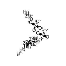 O=S(=O)([O-])[O-].O=S(=O)([O-])[O-].[H-].[H-].[H-].[H-].[H-].[H-].[O]=[Zr+2].[O]=[Zr+2].[O]=[Zr+2].[O]=[Zr+2].[O]=[Zr+2]